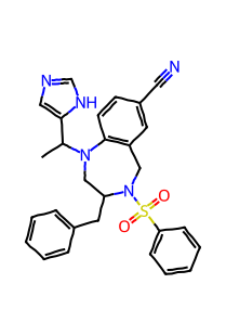 CC(c1cnc[nH]1)N1CC(Cc2ccccc2)N(S(=O)(=O)c2ccccc2)Cc2cc(C#N)ccc21